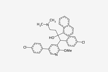 COc1ncc(-c2ccc(Cl)cc2)cc1C(c1ccc(Cl)cc1)C(O)(CCN(C)C)c1cccc2ccccc12